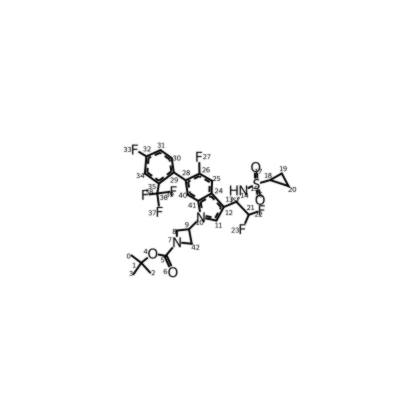 CC(C)(C)OC(=O)N1CC(n2cc([C@H](NS(=O)(=O)C3CC3)C(F)F)c3cc(F)c(-c4ccc(F)cc4C(F)(F)F)cc32)C1